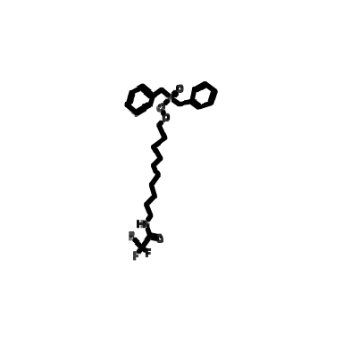 O=C(NCCCCCCCCCCOOP(=O)(Cc1ccccc1)Cc1ccccc1)C(F)(F)F